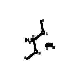 CO[SiH2]OC.[AlH3]